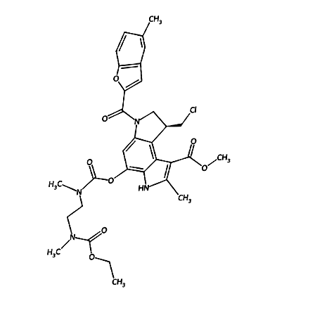 CCOC(=O)N(C)CCN(C)C(=O)Oc1cc2c(c3c(C(=O)OC)c(C)[nH]c13)[C@H](CCl)CN2C(=O)c1cc2cc(C)ccc2o1